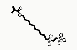 C=C(C)C(=O)OCCCCCCCCCC[Si](Cl)(Cl)CC[Si](Cl)(Cl)Cl